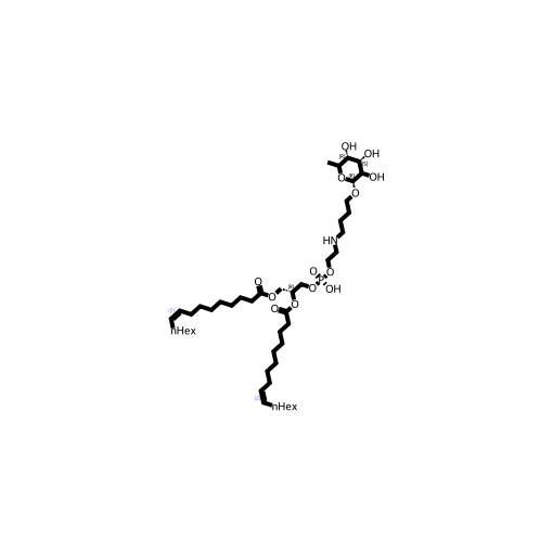 CCCCCC/C=C\CCCCCCCC(=O)OC[C@H](COP(=O)(O)OCCNCCCCO[C@@H]1OC(C)[C@H](O)[C@H](O)C1O)OC(=O)CCCCCCC/C=C\CCCCCC